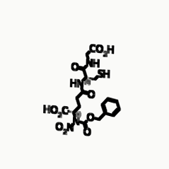 O=C(O)CNC(=O)[C@H](CS)NC(=O)CC[C@@H](C(=O)O)N(C(=O)OCc1ccccc1)[N+](=O)[O-]